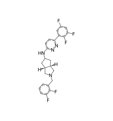 Fc1cc(F)c(F)c(-c2ccc(NC3C[C@@H]4CN(Cc5cccc(F)c5F)C[C@@H]4C3)nn2)c1